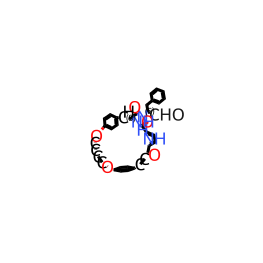 O=C[C@H](Cc1ccccc1)NC(=O)[C@@H]1Cc2ccc(cc2)OCCCCOc2ccc(cc2)CCC(=O)c2ccc([nH]2)C(=O)N1